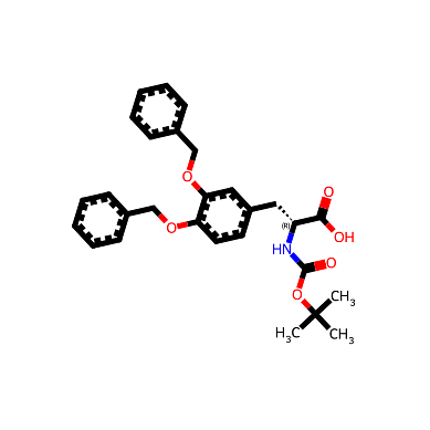 CC(C)(C)OC(=O)N[C@H](Cc1ccc(OCc2ccccc2)c(OCc2ccccc2)c1)C(=O)O